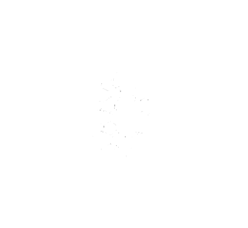 COC[C@H]1CCCN1C(=O)c1ccc(-c2ncc(C(=O)N(C3CC3)C3CCN(C(=O)OC(C)(C)C)CC3)cn2)cc1F